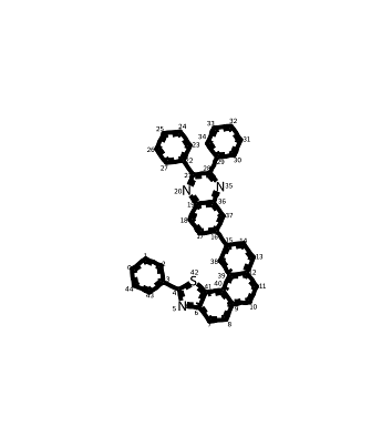 c1ccc(-c2nc3ccc4ccc5ccc(-c6ccc7nc(-c8ccccc8)c(-c8ccccc8)nc7c6)cc5c4c3s2)cc1